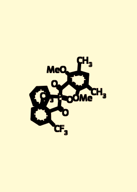 COc1c(C)cc(C)c(OC)c1C(=O)P(=O)(C(=O)c1c(C(F)(F)F)cccc1C(F)(F)F)c1ccccc1